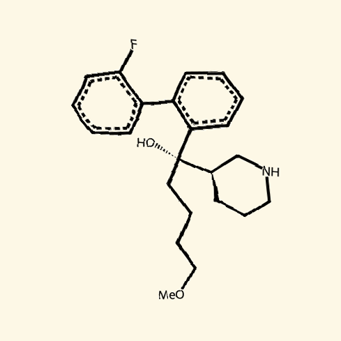 COCCCC[C@@](O)(c1ccccc1-c1ccccc1F)[C@@H]1CCCNC1